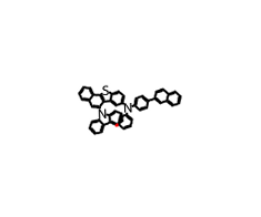 c1ccc(N(c2ccc(-c3ccc4ccccc4c3)cc2)c2ccc3sc4c5ccccc5cc(-n5c6ccccc6c6ccccc65)c4c3c2)cc1